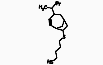 CC(C)C(C)C1C#CC2CC(C1)CC2SCCCCS